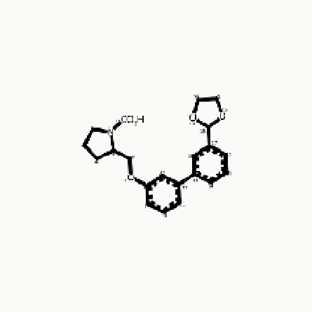 O=C(O)N1CCCC1COc1cccc(-c2cccc(C3OCCO3)c2)c1